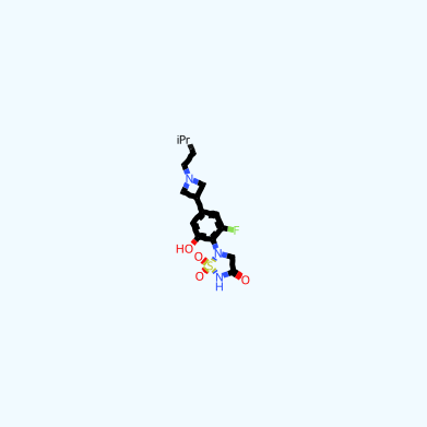 CC(C)CCN1CC(c2cc(O)c(N3CC(=O)NS3(=O)=O)c(F)c2)C1